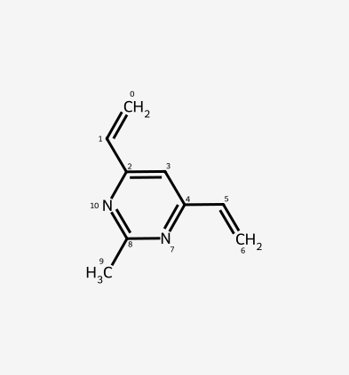 C=Cc1cc(C=C)nc(C)n1